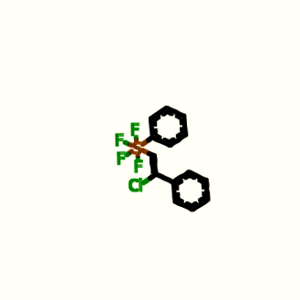 FS(F)(F)(F)(C=C(Cl)c1ccccc1)c1ccccc1